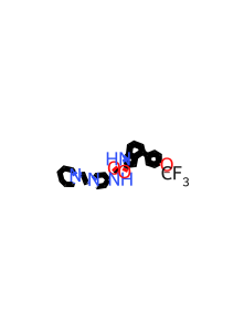 O=C(NC1CCN(CCN2CCCCCC2)CC1)Oc1cc2c(-c3ccc(OC(F)(F)F)cc3)cccc2[nH]1